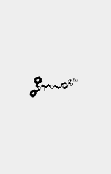 CC(C)(C)OC(=O)N1CCN(CCOCC(F)CN(Cc2ccccc2)Cc2ccccc2)CC1